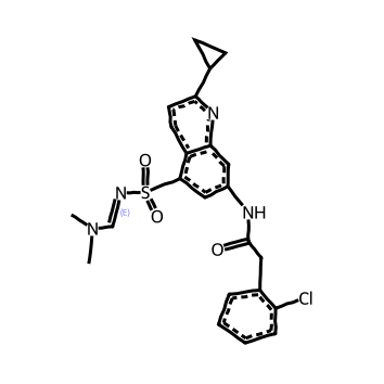 CN(C)/C=N/S(=O)(=O)c1cc(NC(=O)Cc2ccccc2Cl)cc2nc(C3CC3)ccc12